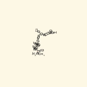 CN(C)CCC(CSc1ccccc1)Nc1ccc(S(=O)(=O)NC(=O)c2ccc(N3CCN(Cc4cc(CN5CCC6(CC5)CCN(C(=O)O)CC6)ccc4-c4ccc(Cl)cc4)CC3)cc2)cc1[N+](=O)[O-]